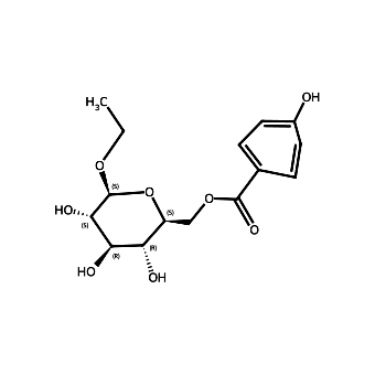 CCO[C@H]1O[C@@H](COC(=O)c2ccc(O)cc2)[C@H](O)[C@@H](O)[C@@H]1O